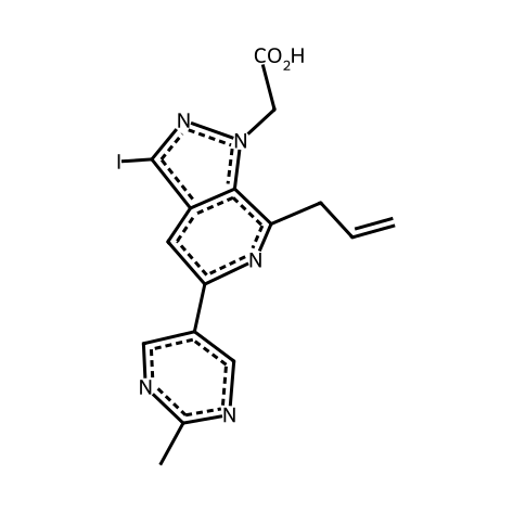 C=CCc1nc(-c2cnc(C)nc2)cc2c(I)nn(CC(=O)O)c12